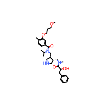 COCCCOc1cc(C(=O)N(C[C@@H]2CNC[C@H]2CN(C)C(=O)C(O)Cc2ccccc2)C(C)C)ccc1C